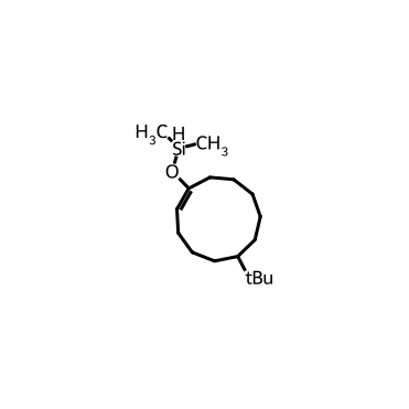 C[SiH](C)OC1=CCCCC(C(C)(C)C)CCCCC1